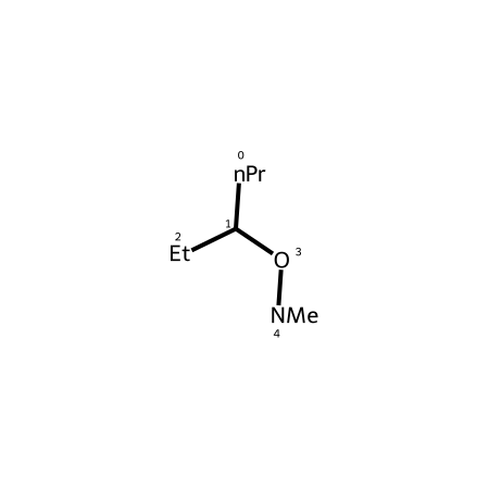 CCCC(CC)ONC